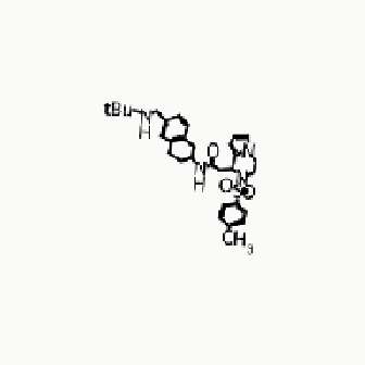 Cc1ccc(S(=O)(=O)N2CCn3cccc3C2CC(=O)NC2CCc3cc(CNCC(C)(C)C)ccc3C2)cc1